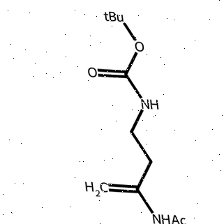 C=C(CCNC(=O)OC(C)(C)C)NC(C)=O